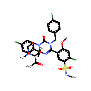 CCOc1cc(Cl)c(S(=O)(=O)NC(C)(C)C)cc1/C(=N/C(C)(C)c1ccc(Cl)cc1)N(Cc1ccc(Cl)cc1)C(=O)N1CCN(C)[C@H](C(=O)OC)C1